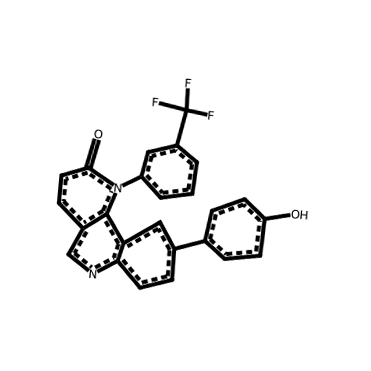 O=c1ccc2cnc3ccc(-c4ccc(O)cc4)cc3c2n1-c1cccc(C(F)(F)F)c1